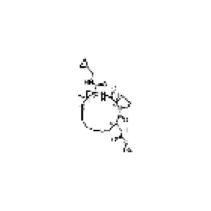 CC(C)(C)OC(=O)N[C@H]1CCCCC/C=C\[C@@H]2C[C@@]2(C(=O)NCC2CC2)NC(=O)[C@@H]2CCCN2C1=O